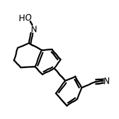 N#Cc1cccc(-c2ccc3c(c2)CCCC3=NO)c1